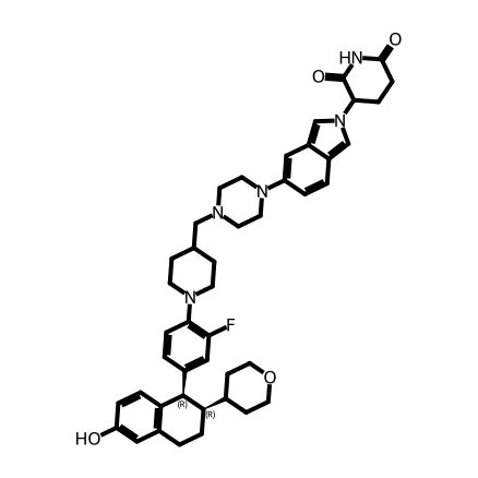 O=C1CCC(n2cc3ccc(N4CCN(CC5CCN(c6ccc([C@@H]7c8ccc(O)cc8CC[C@@H]7C7CCOCC7)cc6F)CC5)CC4)cc3c2)C(=O)N1